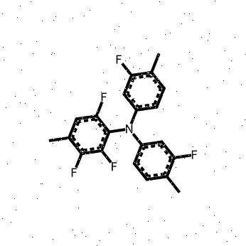 Cc1ccc(N(c2ccc(C)c(F)c2)c2c(F)cc(C)c(F)c2F)cc1F